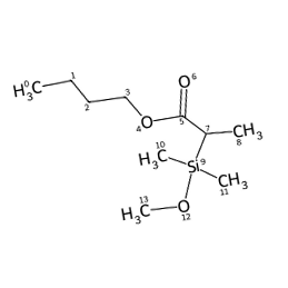 CCCCOC(=O)C(C)[Si](C)(C)OC